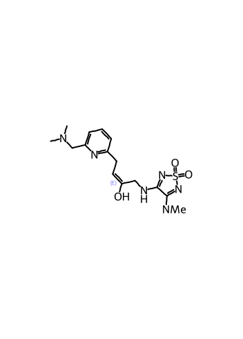 CNC1=NS(=O)(=O)N=C1NC/C(O)=C\Cc1cccc(CN(C)C)n1